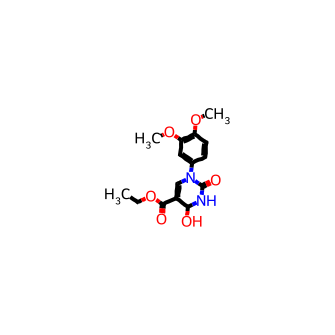 CCOC(=O)C1=CN(c2ccc(OC)c(OC)c2)C(=O)NC1O